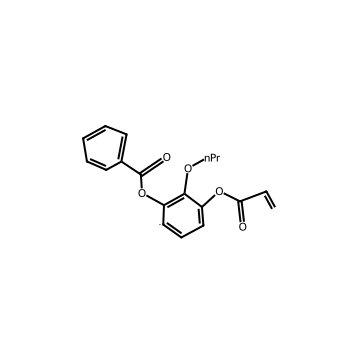 C=CC(=O)Oc1cc[c]c(OC(=O)c2ccccc2)c1OCCC